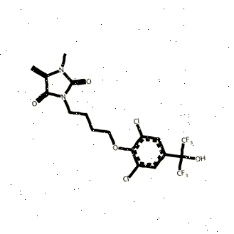 C=C1C(=O)N(CCCCOc2c(Cl)cc(C(O)(C(F)(F)F)C(F)(F)F)cc2Cl)C(=O)N1C